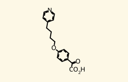 O=C(O)C(=O)c1ccc(OCCCCc2ccncc2)cc1